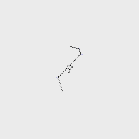 CCCCC/C=C\C/C=C\CCCCCCCC(=O)OC(CCCCCC/C=C\CCCCCCCC)C(=O)OC